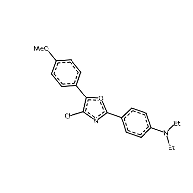 CCN(CC)c1ccc(-c2nc(Cl)c(-c3ccc(OC)cc3)o2)cc1